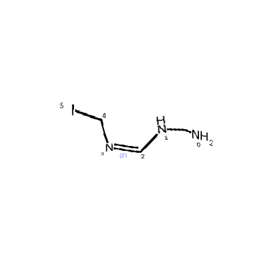 NN/C=N\CI